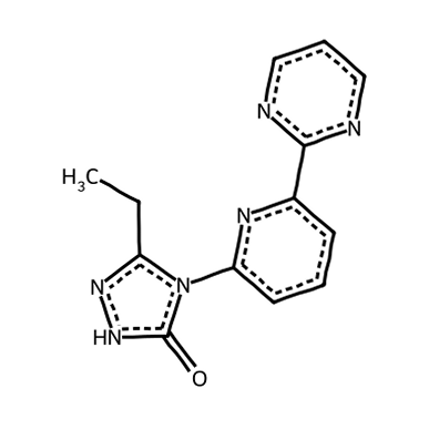 CCc1n[nH]c(=O)n1-c1cccc(-c2ncccn2)n1